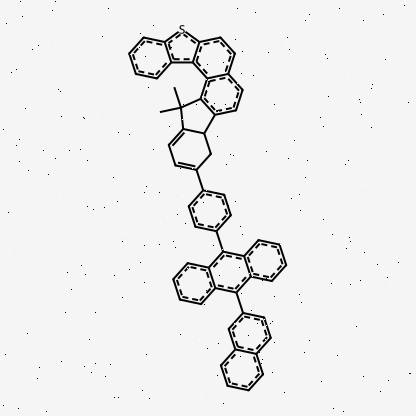 CC1(C)C2=CC=C(c3ccc(-c4c5ccccc5c(-c5ccc6ccccc6c5)c5ccccc45)cc3)CC2c2ccc3ccc4sc5ccccc5c4c3c21